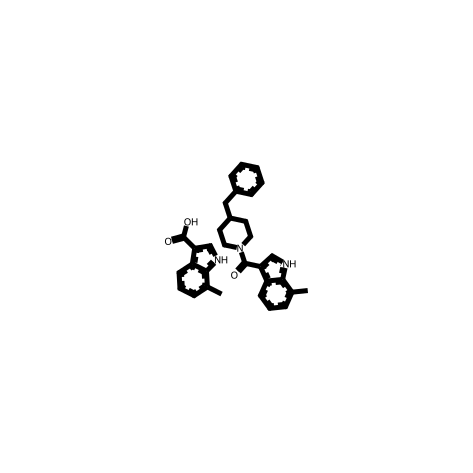 Cc1cccc2c(C(=O)N3CCC(Cc4ccccc4)CC3)c[nH]c12.Cc1cccc2c(C(=O)O)c[nH]c12